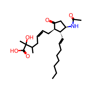 CCCCCC/C=C/[C@H]1[C@H](NC(C)=O)CC(=O)[C@@H]1C/C=C\CC(C)C(C)(O)C(=O)O